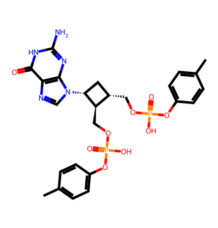 Cc1ccc(OP(=O)(O)OC[C@H]2C[C@@H](n3cnc4c(=O)[nH]c(N)nc43)[C@@H]2COP(=O)(O)Oc2ccc(C)cc2)cc1